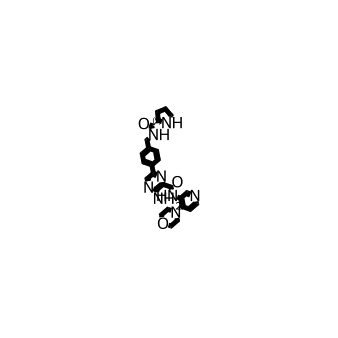 Nc1ncc(-c2ccc(CNC(=O)[C@@H]3CCCN3)cc2)nc1C(=O)Nc1cnccc1N1CCOCC1